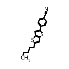 CCCCCc1cc2sc(-c3ccc(C#N)cc3)cc2s1